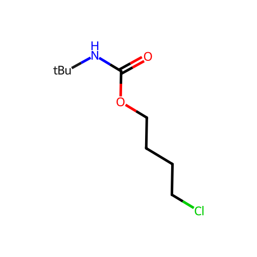 CC(C)(C)NC(=O)OCCCCCl